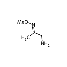 CO/N=C(\C)CN